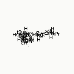 CCCNNC(=O)c1ccc(-c2ccc(NC(=O)CCCCCCC(=O)NC(C(=O)N3C[C@H](O)C[C@H]3C(=O)N[C@@H](C)c3ccc(-c4scnc4C)cc3)C(C)(C)C)cc2)cc1